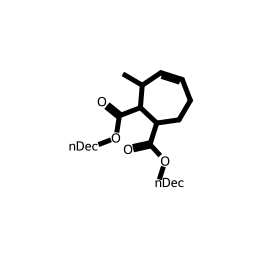 CCCCCCCCCCOC(=O)C1CCC=CC(C)C1C(=O)OCCCCCCCCCC